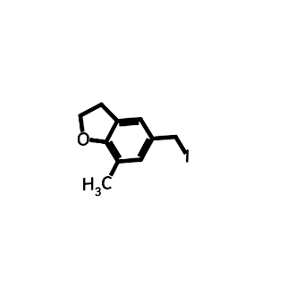 Cc1cc(CI)cc2c1OCC2